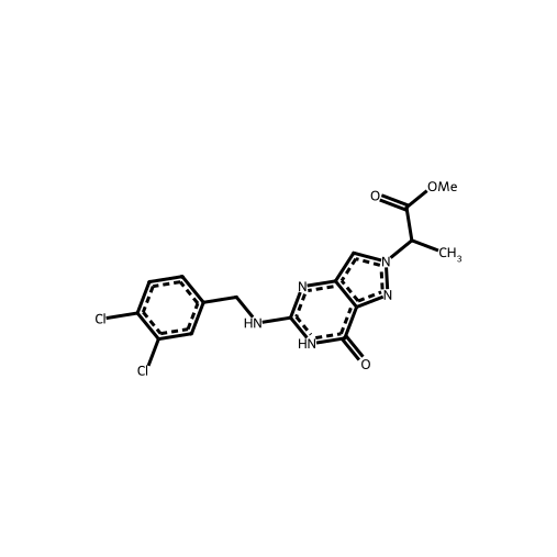 COC(=O)C(C)n1cc2nc(NCc3ccc(Cl)c(Cl)c3)[nH]c(=O)c2n1